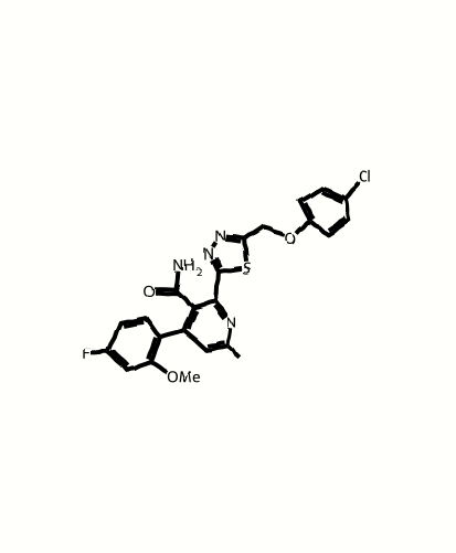 COc1cc(F)ccc1-c1cc(C)nc(-c2nnc(COc3ccc(Cl)cc3)s2)c1C(N)=O